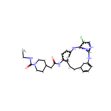 CCNC(=O)N1CCC(CC(=O)Nc2ccc3cc2CCC2C=CC=C(C2)Nc2ncc(Cl)c(n2)N3)CC1